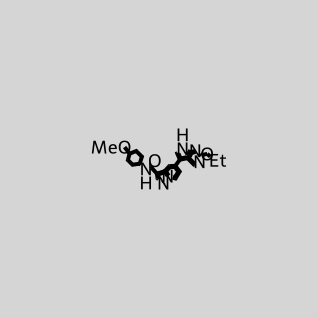 CCOc1ncc2c(-c3ccn4ncc(C(=O)NC5CCC(OC)CC5)c4c3)c[nH]c2n1